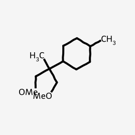 COCC(C)(COC)C1CCC(C)CC1